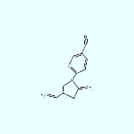 C=CC1CC(=C)N(c2ccc(C#N)cn2)C1